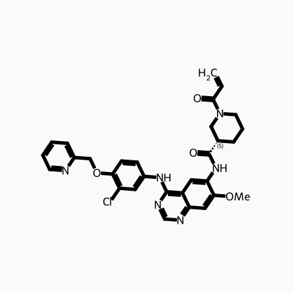 C=CC(=O)N1CCC[C@H](C(=O)Nc2cc3c(Nc4ccc(OCc5ccccn5)c(Cl)c4)ncnc3cc2OC)C1